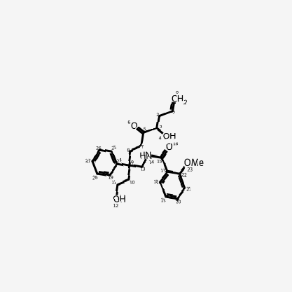 C=CCC(O)C(=O)CCC(CCO)(CNC(=O)c1ccccc1OC)c1ccccc1